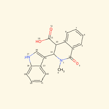 CN1C(=O)c2ccccc2C(C(=O)O)C1c1c[nH]c2ccccc12